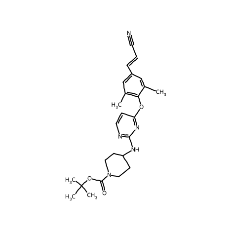 Cc1cc(C=CC#N)cc(C)c1Oc1ccnc(NC2CCN(C(=O)OC(C)(C)C)CC2)n1